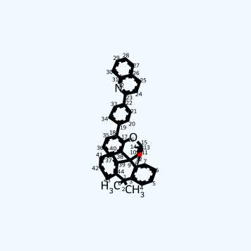 CC1(C)c2ccccc2C2(c3ccccc3Oc3c(-c4ccc(-c5ccc6ccccc6n5)cc4)cccc32)c2ccccc21